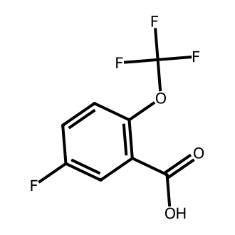 O=C(O)c1cc(F)ccc1OC(F)(F)F